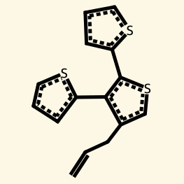 C=CCc1csc(-c2cccs2)c1-c1cccs1